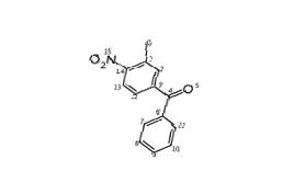 Cc1cc(C(=O)c2ccccc2)ccc1[N+](=O)[O-]